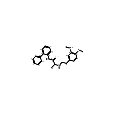 COc1ccc(CCNC(C)C(=O)Nc2ccccc2-c2ccccc2)cc1OC